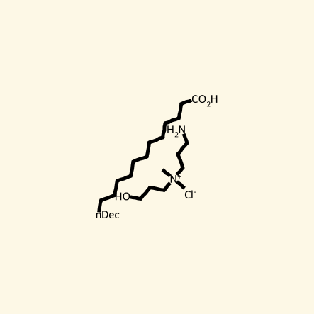 CCCCCCCCCCCCCCCCCCCCCC(=O)O.C[N+](C)(CCCN)CCCO.[Cl-]